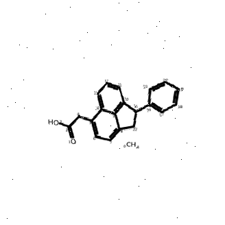 C.O=C(O)Cc1ccc2c3c(cccc13)C(c1ccccc1)C2